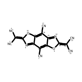 N#CC(C#N)=c1nc2c(C#N)c3oc(=C(C#N)C#N)nc3c(C#N)c2o1